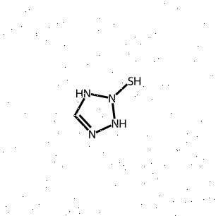 SN1NC=NN1